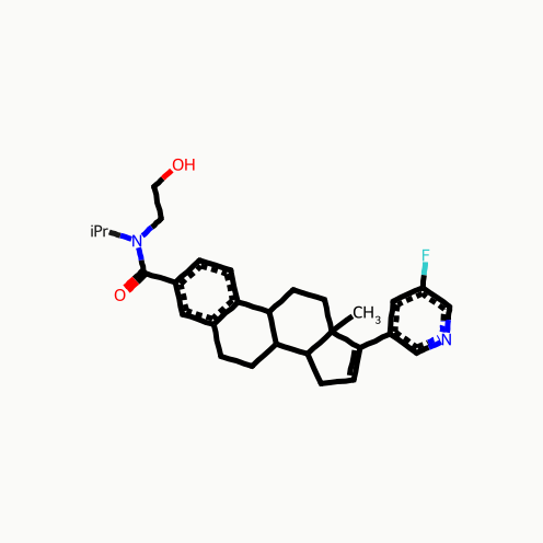 CC(C)N(CCO)C(=O)c1ccc2c(c1)CCC1C2CCC2(C)C(c3cncc(F)c3)=CCC12